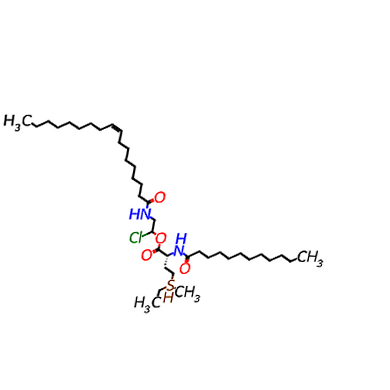 CCCCCCCC/C=C\CCCCCCCC(=O)NCC(Cl)OC(=O)[C@@H](CC[SH](C)CC)NC(=O)CCCCCCCCCCC